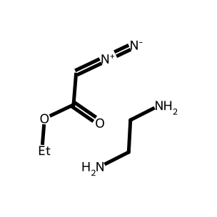 CCOC(=O)C=[N+]=[N-].NCCN